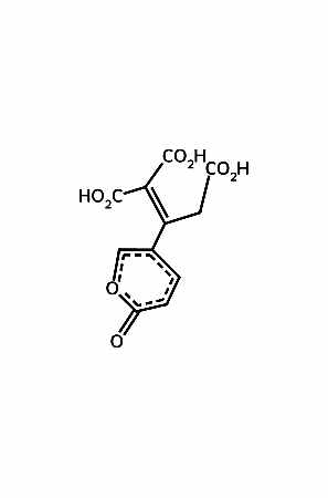 O=C(O)CC(=C(C(=O)O)C(=O)O)c1ccc(=O)oc1